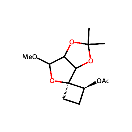 COC1O[C@@]2(CC[C@@H]2OC(C)=O)C2OC(C)(C)OC12